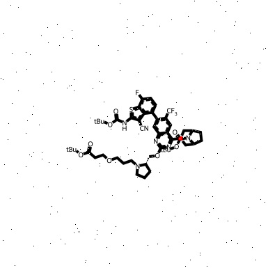 CC(C)(C)OC(=O)CCOCCCN1CCC[C@H]1COc1nc(N2CC3CCC(C2)N3C(=O)OC(C)(C)C)c2cc(C(F)(F)F)c(-c3ccc(F)c4sc(NC(=O)OC(C)(C)C)c(C#N)c34)cc2n1